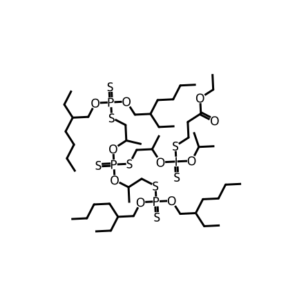 CCCCC(CC)COP(=S)(OCC(CC)CCCC)SCC(C)OP(=S)(OC(C)CSP(=S)(OCC(CC)CCCC)OCC(CC)CCCC)SCC(C)OI(=S)(OC(C)C)SCCC(=O)OCC